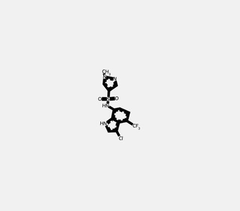 Cn1cc(S(=O)(=O)Nc2ccc(C(F)(F)F)c3c(Cl)c[nH]c23)cn1